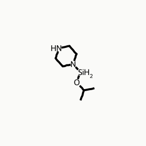 CC(C)O[SiH2]N1CCNCC1